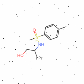 CCCC(CO)N[SH](C)(=O)c1ccc(C)cc1